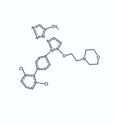 Clc1cccc(Cl)c1-c1ccc(-n2nccc2OCCN2CCOCC2)cc1.Cn1cnnn1